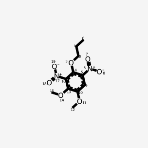 CCCOc1c([N+](=O)[O-])cc(OC)c(OC)c1[N+](=O)[O-]